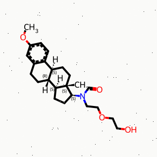 COc1ccc2c(c1)CC[C@@H]1[C@@H]2CC[C@]2(C)[C@@H](N(C=O)CCOCCO)CC[C@@H]12